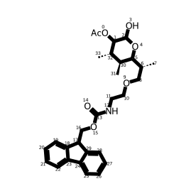 CC(=O)OC1C(O)OC([C@H](C)COCCNC(=O)OCC2c3ccccc3-c3ccccc32)[C@@H](C)[C@@H]1C